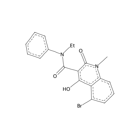 CCN(C(=O)c1c(O)c2c(Br)cccc2n(C)c1=O)c1ccccc1